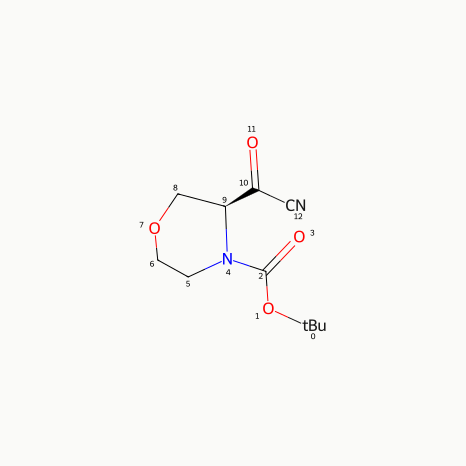 CC(C)(C)OC(=O)N1CCOC[C@H]1C(=O)C#N